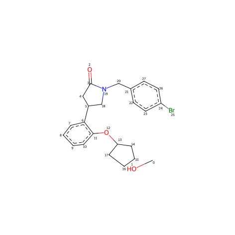 CO.O=C1CC(c2ccccc2OC2CCCC2)CN1Cc1ccc(Br)cc1